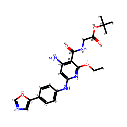 CCOc1nc(Nc2ccc(-c3cnco3)cc2)cc(N)c1C(=O)NCC(=O)OC(C)(C)C